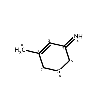 CC1=CC(=N)CSC1